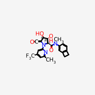 Cc1cc(C(F)(F)F)cc(N2C(=C=O)[C@@H](O)[C@H](O)[C@H]2C(=O)N(C)c2ccc3c(c2)CC3)n1